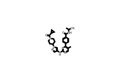 Cc1cnc(Nc2cnn(C3CCN(C(=O)C4CC4)CC3)c2)nc1-c1ccc(C(=O)NC(C)C#N)cc1